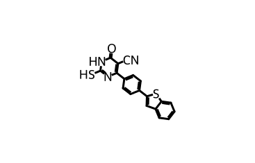 N#Cc1c(-c2ccc(-c3cc4ccccc4s3)cc2)nc(S)[nH]c1=O